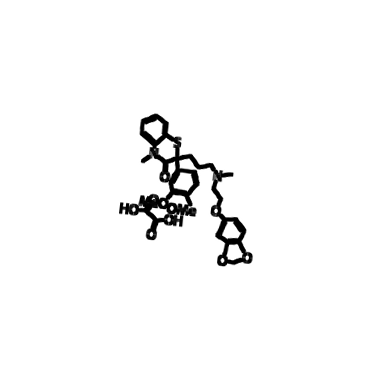 COc1ccc(C2(CCCN(C)CCOc3ccc4c(c3)OCO4)Sc3ccccc3N(C)C2=O)cc1OC.O=C(O)C(=O)O